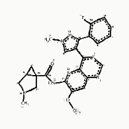 COc1cc2ncnc(-c3cn(C)nc3-c3ccccc3F)c2nc1NC(=O)C12CC1CN(C)C2